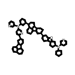 c1ccc(N(c2cccnc2)c2ccc3c(c2)oc2cc(-c4ccc5c(c4)-c4cccc6c(-c7cccc(N(c8cccnc8)c8ccc(-c9ccc%10c(c9)-c9cccc%11cccc-%10c9%11)nc8)c7)ccc-5c46)ccc23)cc1